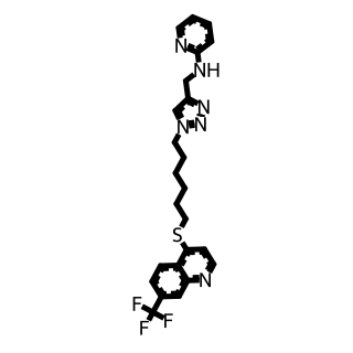 FC(F)(F)c1ccc2c(SCCCCCCn3cc(CNc4ccccn4)nn3)ccnc2c1